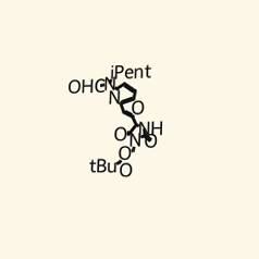 CCCC(C)N(C=O)c1ccc2oc(C3NC(=O)N(COC(=O)C(C)(C)C)C3=O)cc2n1